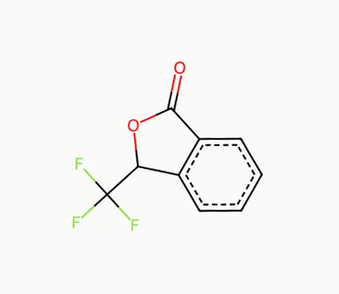 O=C1OC(C(F)(F)F)c2ccccc21